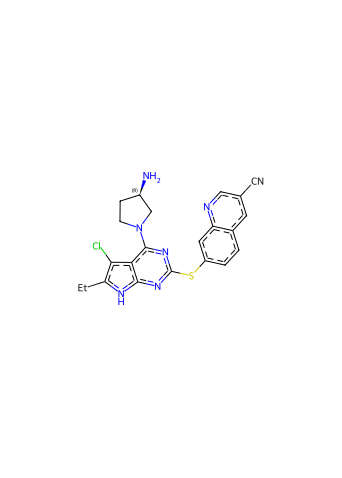 CCc1[nH]c2nc(Sc3ccc4cc(C#N)cnc4c3)nc(N3CC[C@@H](N)C3)c2c1Cl